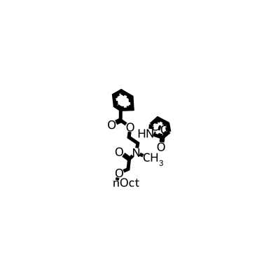 CCCCCCCCOCC(=O)N(C)CCOC(=O)c1ccccc1.O=c1[nH]c2ccc1cc2